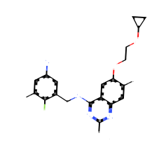 Cc1nc(NCc2cc(N)cc(C(F)(F)F)c2F)c2cc(OCCOC3CC3)c(C(F)(F)F)cc2n1